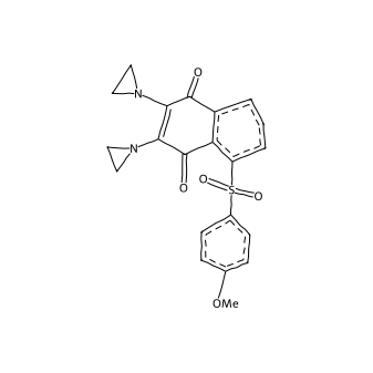 COc1ccc(S(=O)(=O)c2cccc3c2C(=O)C(N2CC2)=C(N2CC2)C3=O)cc1